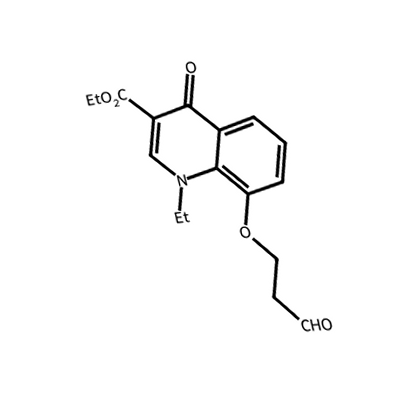 CCOC(=O)c1cn(CC)c2c(OCCC=O)cccc2c1=O